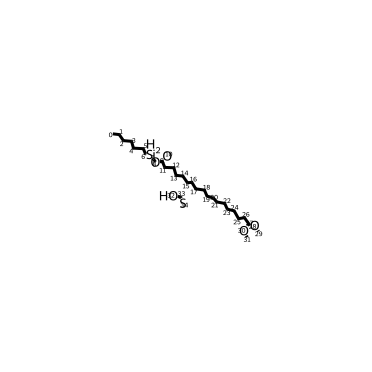 CCCCCCC[SiH2]OC(=O)CCCCCCCCCCCCCCCCC(OC)OC.OC=S